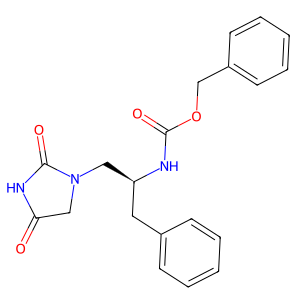 O=C1CN(C[C@H](Cc2ccccc2)NC(=O)OCc2ccccc2)C(=O)N1